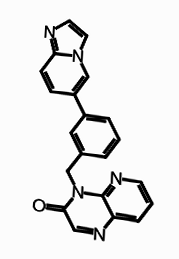 O=c1cnc2cccnc2n1Cc1cccc(-c2ccc3nccn3c2)c1